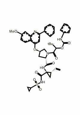 C=C[C@@H]1C[C@]1(NC(=O)[C@@H]1C[C@@H](Oc2cc(-c3ccccc3)nc3cc(OC)ccc23)CN1C(=O)C(OC(=O)Nc1ccccc1)C(C)(C)C)C(=O)NS(=O)(=O)C1CC1